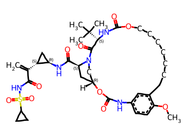 C=C(C(=O)NS(=O)(=O)C1CC1)[C@@H]1C[C@H]1NC(=O)[C@@H]1C[C@@H]2CN1C(=O)[C@H](C(C)(C)C)NC(=O)OCCCCCCCc1cc(ccc1OC)NC(=O)O2